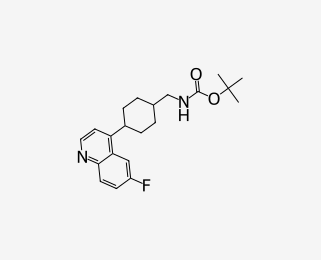 CC(C)(C)OC(=O)NCC1CCC(c2ccnc3ccc(F)cc23)CC1